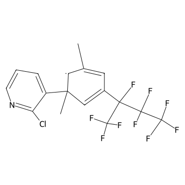 CC1=CC(C(F)(C(F)(F)F)C(F)(F)C(F)(F)F)=CC(C)(c2cccnc2Cl)[CH]1